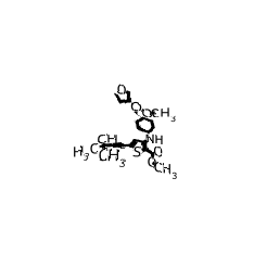 COC(=O)c1sc(C#CC(C)(C)C)cc1N[C@H]1CC[C@](CO[C@H]2CCOC2)(OC)CC1